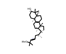 COC(C)(C)/C=C/C[C@@H](C)[C@H]1CC[C@@]2(C)C3=C(CC[C@]12C)[C@@]1(C)CC[C@H](O)C(C)(C)[C@@H]1CC3